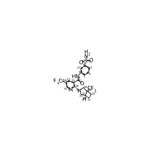 NS(=O)(=O)c1cccc(NC(=O)c2cc(C(F)(F)F)cnc2N2C[C@@H]3CC[C@]3(C(F)(F)F)C2)c1